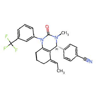 CC=C1CCCC2=C1[C@@H](c1ccc(C#N)cc1)N(C)C(=O)N2c1cccc(C(F)(F)F)c1